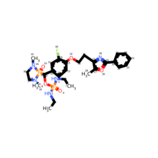 CCNP(=O)(NCC)OC(c1ccc(OCCc2nc(-c3ccccc3)oc2C)c(F)c1)P1(=O)N(C)CCN1C